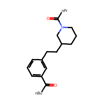 CCCCC(=O)c1cccc(CCC2CCCN(C(=O)CCC)C2)c1